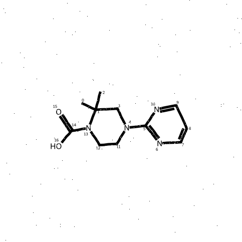 CC1(C)CN(c2ncccn2)CCN1C(=O)O